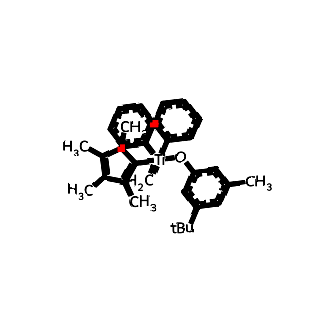 [CH2]=[Ti]([O]c1cc(C)cc(C(C)(C)C)c1)([C]1=C(C)C(C)=C(C)C1C)([c]1ccccc1)[c]1ccccc1